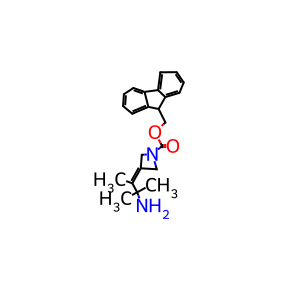 CC(=C1CN(C(=O)OCC2c3ccccc3-c3ccccc32)C1)C(C)(C)N